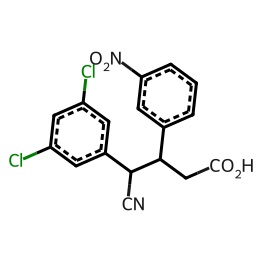 N#CC(c1cc(Cl)cc(Cl)c1)C(CC(=O)O)c1cccc([N+](=O)[O-])c1